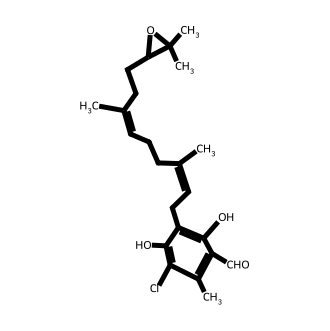 CC(=CCc1c(O)c(Cl)c(C)c(C=O)c1O)CCC=C(C)CCC1OC1(C)C